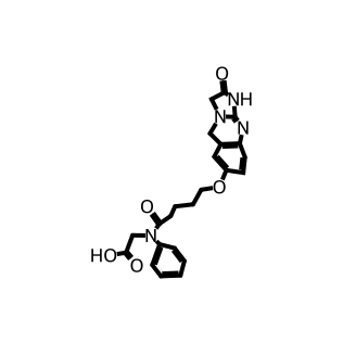 O=C(O)CN(C(=O)CCCCOc1ccc2c(c1)CN1CC(=O)NC1=N2)c1ccccc1